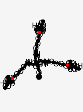 CC(C)(C)OC(=O)N[C@H]1[C@H]2OC[C@](COCCOCCOCCOCCn3cc(COCC(COCc4cn(CCOCCOCCOCCOC[C@@]56CO[C@@H](O5)[C@H](NC(=O)OC(C)(C)C)[C@H]5OC(C)(C)O[C@H]56)nn4)(COCc4cn(CCOCCOCCOCCOC[C@@]56OO[C@@H](O5)[C@H](NC(=O)OC(C)(C)C)[C@H]5OC(C)(C)O[C@H]56)nn4)NC(=O)CCCOCc4ccccc4)nn3)(O2)[C@@H]2OC(C)(C)O[C@H]12